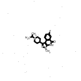 CC(C)N1CCC(c2nn(C)c3[nH]c(=O)c4cc(F)ccc4c23)CC1